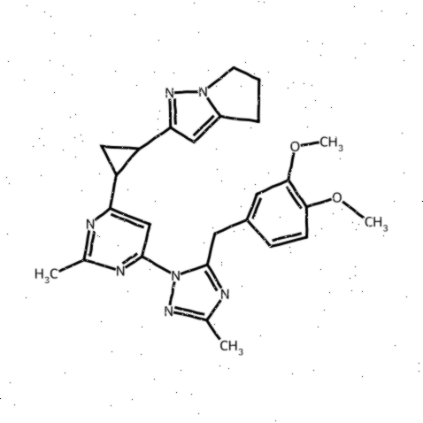 COc1ccc(Cc2nc(C)nn2-c2cc(C3CC3c3cc4n(n3)CCC4)nc(C)n2)cc1OC